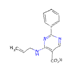 C=CCNc1nc(-c2ccccc2)ncc1C(=O)O